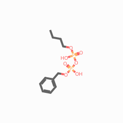 CCCCOP(=O)(O)OP(=O)(O)OCc1ccccc1